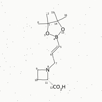 CC1(C)OB(/C=C/CN2CC[C@H]2C(=O)O)OC1(C)C